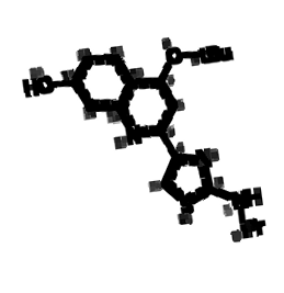 CC(C)Nc1nc(-c2cc(OC(C)(C)C)c3ccc(O)cc3n2)cs1